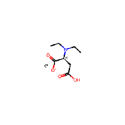 CCN(CC)[C@@H](CC(=O)O)C(=O)[O-].[K+]